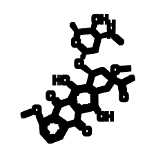 CN[C@H]1C[C@H](O[C@H]2C[C@](OC)(C(C)=O)Cc3c(O)c4c(c(O)c32)C(=O)c2c(OC)cccc2C4=O)O[C@@H](C)[C@H]1O